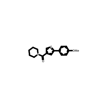 COc1ccc(-c2cc(C(=O)N3CCCCC3)cs2)cc1